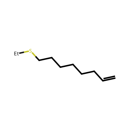 [CH2]CSCCCCCCC=C